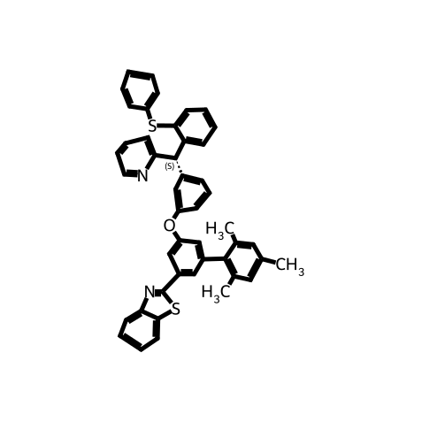 Cc1cc(C)c(-c2cc(Oc3cccc([C@H](c4ccccn4)c4ccccc4Sc4ccccc4)c3)cc(-c3nc4ccccc4s3)c2)c(C)c1